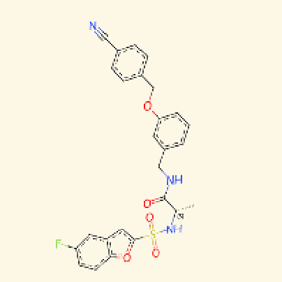 C[C@H](NS(=O)(=O)c1cc2cc(F)ccc2o1)C(=O)NCc1cccc(OCc2ccc(C#N)cc2)c1